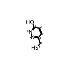 Oc1ccc(CS)nn1